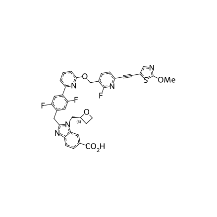 COc1ncc(C#Cc2ccc(COc3cccc(-c4cc(F)c(Cc5nc6ccc(C(=O)O)cc6n5C[C@@H]5CCO5)cc4F)n3)c(F)n2)s1